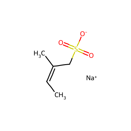 CC=C(C)CS(=O)(=O)[O-].[Na+]